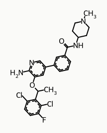 CC(Oc1cc(-c2cccc(C(=O)NC3CCN(C)CC3)c2)cnc1N)c1c(Cl)ccc(F)c1Cl